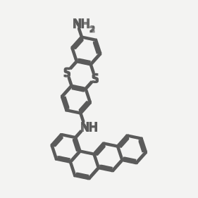 Nc1ccc2c(c1)Sc1ccc(Nc3cccc4ccc5cc6ccccc6cc5c34)cc1S2